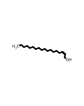 CCCCCCCCCCCCCCC/C=[C]\CO